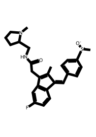 CC1=C(CC(=O)NCC2CCCN2C)c2cc(F)ccc2C1=Cc1ccc([S+](C)[O-])cc1